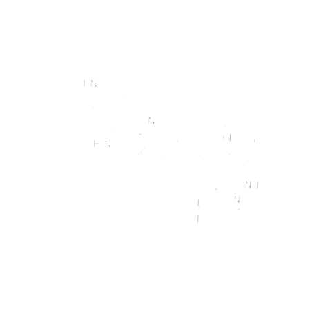 Cc1cc(Oc2nccc(C=N)c2N)ccc1-c1c(C)n[nH]c(=O)c1C